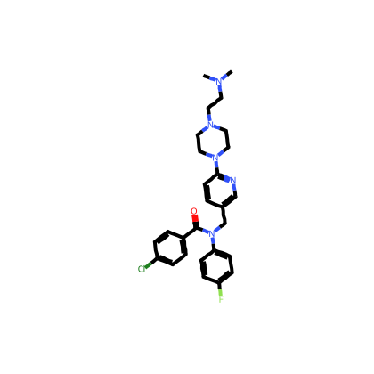 CN(C)CCN1CCN(c2ccc(CN(C(=O)c3ccc(Cl)cc3)c3ccc(F)cc3)cn2)CC1